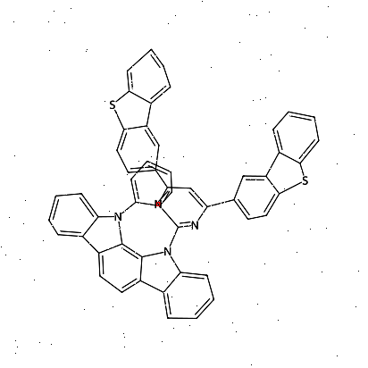 c1ccc(-n2c3ccccc3c3ccc4c5ccccc5n(-c5nc(-c6ccc7sc8ccccc8c7c6)cc(-c6ccc7sc8ccccc8c7c6)n5)c4c32)cc1